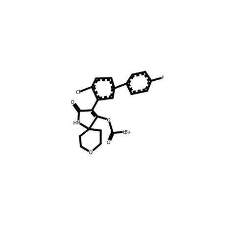 CC(C)(C)C(=O)OC1=C(c2cc(-c3ccc(F)cc3)ccc2Cl)C(=O)NC12CCOCC2